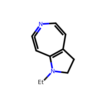 CCN1CCC2=C1C=C=NC=C2